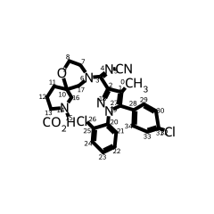 Cc1c(C(=NC#N)N2CCOC3(CCCN(C(=O)O)C3)C2)nn(-c2ccccc2Cl)c1-c1ccc(Cl)cc1